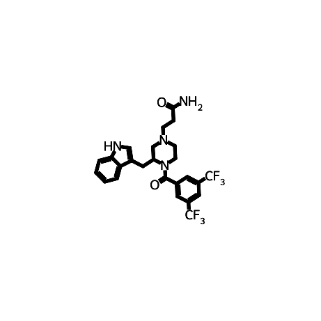 NC(=O)CCN1CCN(C(=O)c2cc(C(F)(F)F)cc(C(F)(F)F)c2)C(Cc2c[nH]c3ccccc23)C1